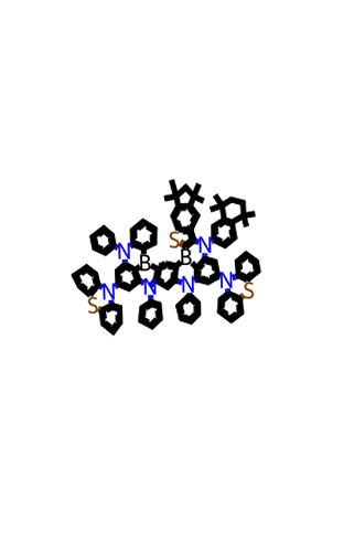 CC1(C)CCC(C)(C)c2cc(N3c4cc(N5c6ccccc6Sc6ccccc65)cc5c4B(c4cc6c(cc4N5c4ccccc4)N(c4ccccc4)c4cc(N5c7ccccc7Sc7ccccc75)cc5c4B6c4ccccc4N5c4ccccc4)c4sc5cc6c(cc5c43)C(C)(C)CC6(C)C)ccc21